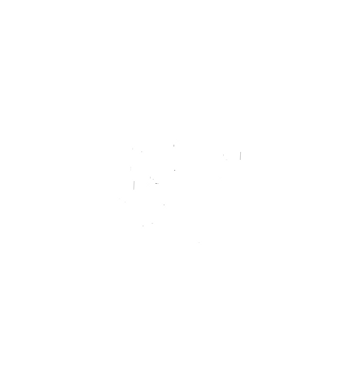 Oc1ccc(O)c2c1C1(Cl)C(Cl)=C(Cl)C2(Cl)C1(Cl)Cl